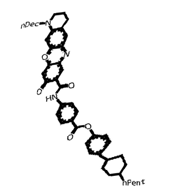 CCCCCCCCCCN1CCCc2cc3nc4cc(C(=O)Nc5ccc(C(=O)Oc6ccc(C7CCC(CCCCC)CC7)cc6)cc5)c(=O)cc-4oc3cc21